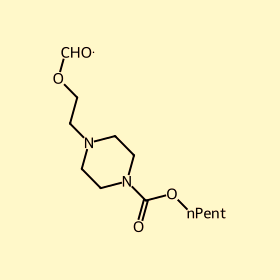 CCCCCOC(=O)N1CCN(CCO[C]=O)CC1